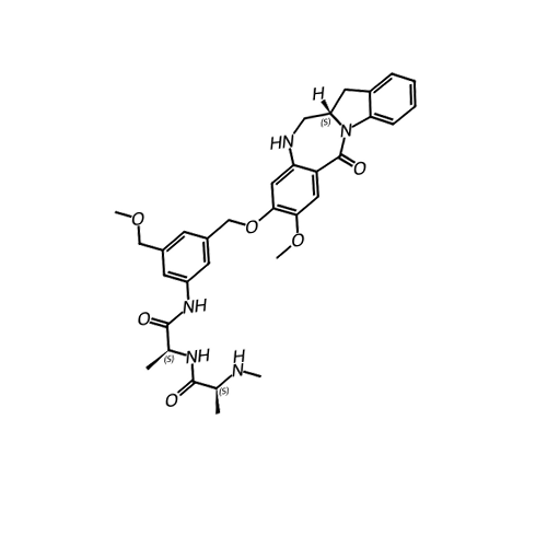 CN[C@@H](C)C(=O)N[C@@H](C)C(=O)Nc1cc(COC)cc(COc2cc3c(cc2OC)C(=O)N2c4ccccc4C[C@H]2CN3)c1